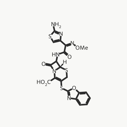 CO/N=C(\C(=O)NC1C(=O)N2C(C(=O)O)=C(Sc3nc4ccccc4o3)CS[C@@H]12)c1csc(N)n1